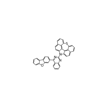 c1ccc2c(-c3ccc4c(c3)oc3ccccc34)nc(-n3c4ccc5cccc6sc7cccc8ccc3c(c87)c4c56)nc2c1